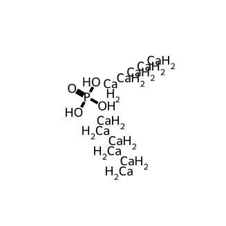 O=P(O)(O)O.[CaH2].[CaH2].[CaH2].[CaH2].[CaH2].[CaH2].[CaH2].[CaH2].[CaH2].[CaH2].[CaH2]